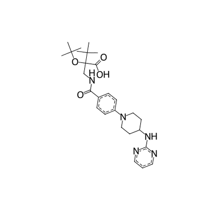 CC(C)(C)OC(CNC(=O)c1ccc(N2CCC(Nc3ncccn3)CC2)cc1)(C(=O)O)C(C)(C)C